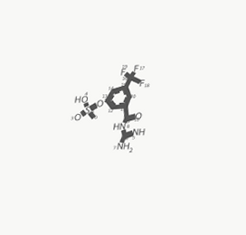 CS(=O)(=O)O.N=C(N)NC(=O)c1cccc(C(F)(F)F)c1